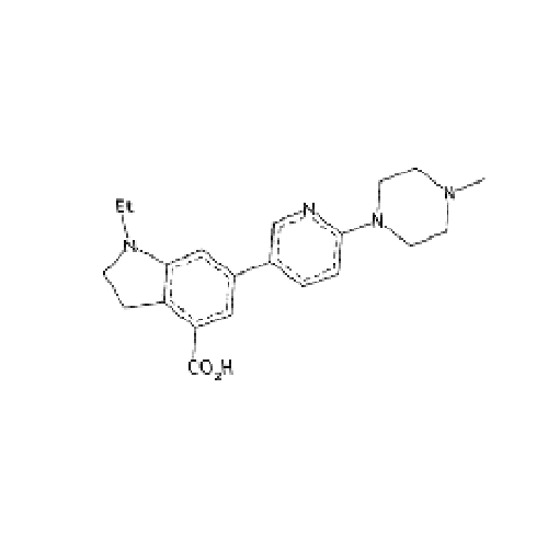 CCN1CCc2c(C(=O)O)cc(-c3ccc(N4CCN(C)CC4)nc3)cc21